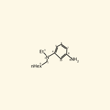 CCCCCCCN(CC)c1cccc(N)c1